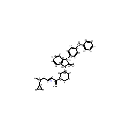 CN(C/C=C/C(=O)N1CCC[C@@H](n2c(=O)n(-c3ccc(Oc4ccccc4)cc3)c3cnccc32)C1)C1CC1